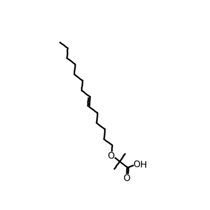 CCCCCCCC=CCCCCCOC(C)(C)C(=O)O